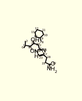 CC(C)[C@@H](O)[C@@H](O)[C@H](CC1CCCCC1)c1nc(CCC(N)=O)c[nH]1